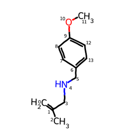 C=C(C)CNCc1ccc(OC)cc1